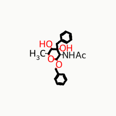 CC(=O)N[C@@H]1[C@@H](OCc2ccccc2)O[C@H](C)[C@@H](O)[C@@]1(O)Cc1ccccc1